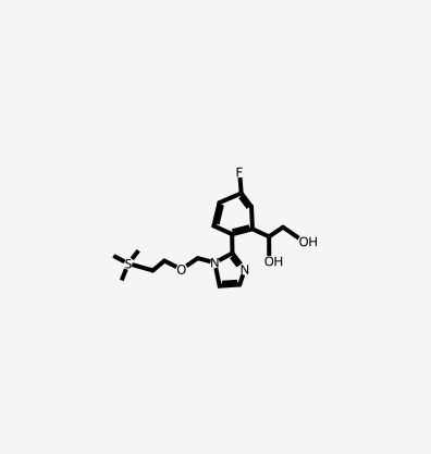 CS(C)(C)CCOCn1ccnc1-c1ccc(F)cc1C(O)CO